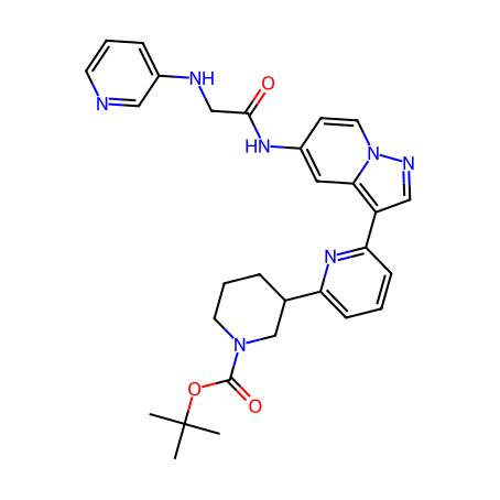 CC(C)(C)OC(=O)N1CCCC(c2cccc(-c3cnn4ccc(NC(=O)CNc5cccnc5)cc34)n2)C1